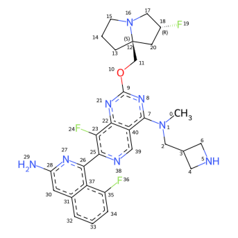 CN(CC1CNC1)c1nc(OC[C@@]23CCCN2C[C@H](F)C3)nc2c(F)c(-c3nc(N)cc4cccc(F)c34)ncc12